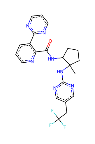 CC1(Nc2ncc(CC(F)(F)F)cn2)CCCC1NC(=O)c1ncccc1-c1ncccn1